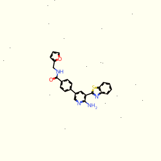 Nc1ncc(-c2ccc(C(=O)NCc3ccco3)cc2)cc1-c1nc2ccccc2s1